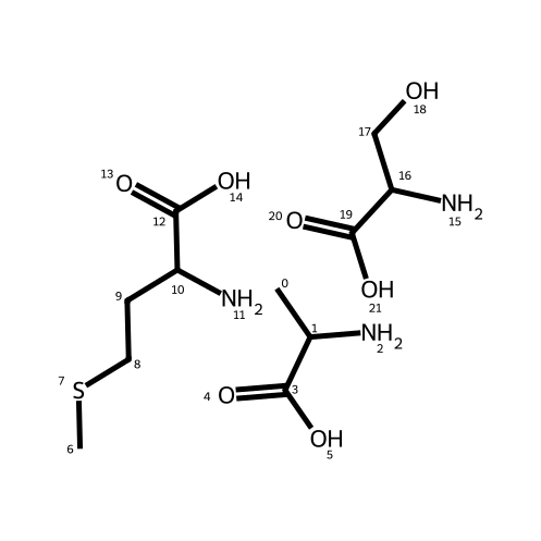 CC(N)C(=O)O.CSCCC(N)C(=O)O.NC(CO)C(=O)O